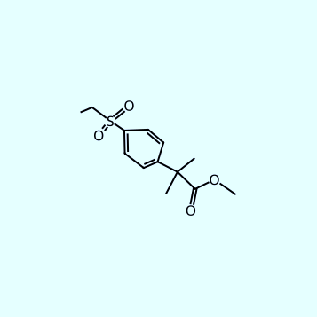 CCS(=O)(=O)c1ccc(C(C)(C)C(=O)OC)cc1